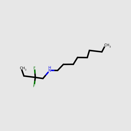 CCCCCCCCNCC(F)(F)CC